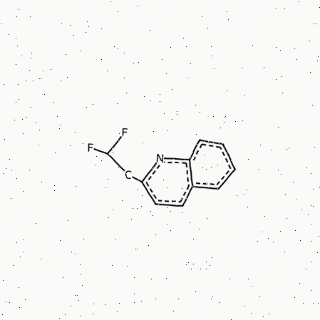 FC(F)Cc1ccc2ccccc2n1